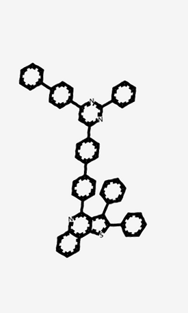 c1ccc(-c2ccc(-c3cc(-c4ccc(-c5ccc(-c6nc7ccccc7c7sc(-c8ccccc8)c(-c8ccccc8)c67)cc5)cc4)nc(-c4ccccc4)n3)cc2)cc1